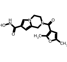 Cc1cc(C(=O)N2CCn3cc(C(=O)NO)cc3C2)c(C)o1